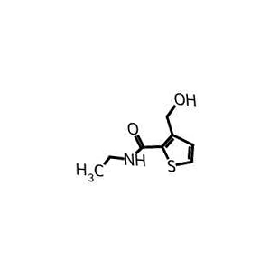 CCNC(=O)c1sccc1CO